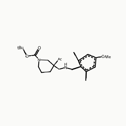 COc1cc(C)c(CNCC2(C(C)=O)CCCN(C(=O)OC(C)(C)C)C2)c(C)c1